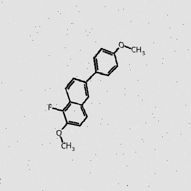 COc1ccc(-c2ccc3c(F)c(OC)ccc3c2)cc1